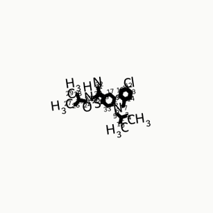 CCC(CC)CN(Cc1ccc(Cl)cc1)C1CCc2c(sc(NC(=O)C(CC)CC)c2C#N)C1